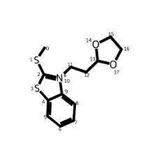 CSc1sc2ccccc2[n+]1CCC1OCCO1